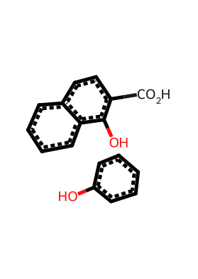 O=C(O)c1ccc2ccccc2c1O.Oc1ccccc1